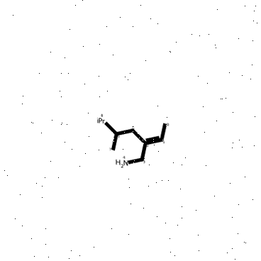 C/C=C(/CN)CC(C)C(C)C